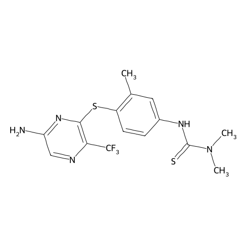 Cc1cc(NC(=S)N(C)C)ccc1Sc1nc(N)cnc1C(F)(F)F